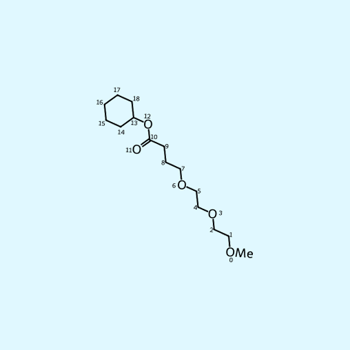 COCCOCCOCCCC(=O)OC1CCCCC1